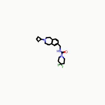 O=C(NCc1ccc2c(c1)CCN(C1CCC1)CC2)N1CCC(F)(F)CC1